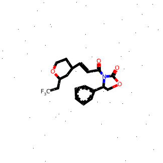 O=C(/C=C/C1CCOC(CC(F)(F)F)C1)N1C(=O)OCC1c1ccccc1